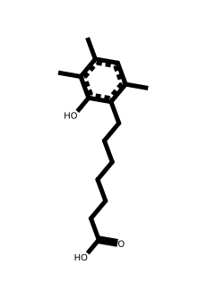 Cc1cc(C)c(CCCCCCC(=O)O)c(O)c1C